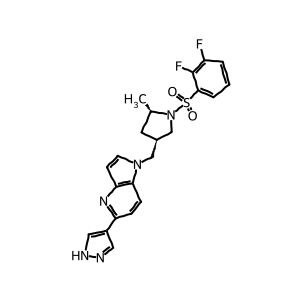 C[C@@H]1C[C@H](Cn2ccc3nc(-c4cn[nH]c4)ccc32)CN1S(=O)(=O)c1cccc(F)c1F